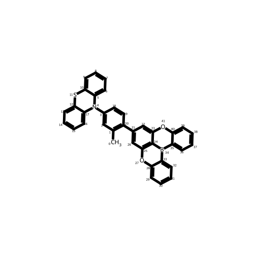 Cc1cc(N2c3ccccc3Sc3ccccc32)ccc1-c1cc2c3c(c1)Oc1ccccc1B3c1ccccc1O2